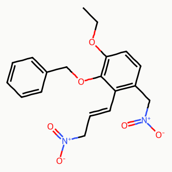 CCOc1ccc(C[N+](=O)[O-])c(C=CC[N+](=O)[O-])c1OCc1ccccc1